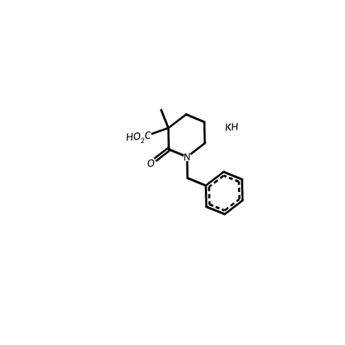 CC1(C(=O)O)CCCN(Cc2ccccc2)C1=O.[KH]